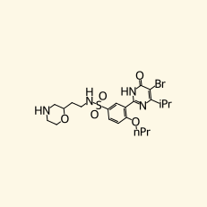 CCCOc1ccc(S(=O)(=O)NCCC2CNCCO2)cc1-c1nc(C(C)C)c(Br)c(=O)[nH]1